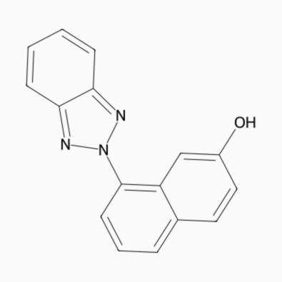 Oc1ccc2cccc(-n3nc4ccccc4n3)c2c1